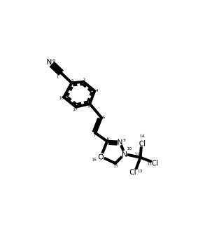 N#Cc1ccc(C=CC2=NN(C(Cl)(Cl)Cl)CO2)cc1